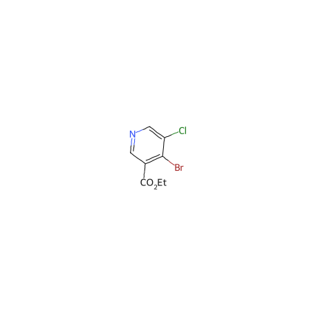 CCOC(=O)c1cncc(Cl)c1Br